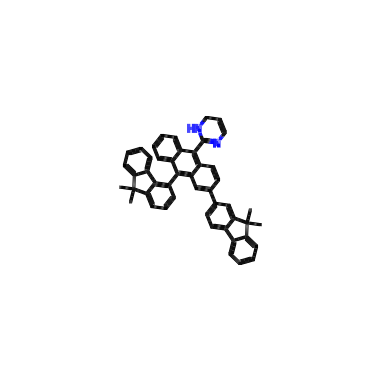 CC1(C)c2ccccc2-c2ccc(-c3ccc4c(C5=NC=CCN5)c5ccccc5c(-c5cccc6c5-c5ccccc5C6(C)C)c4c3)cc21